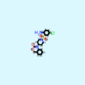 Nc1ccc(Cl)cc1S(=O)(=O)N1CCC(N2C(=O)OCc3ccccc32)CC1